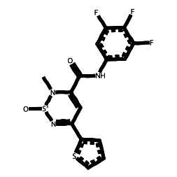 CN1C(C(=O)Nc2cc(F)c(F)c(F)c2)=CC(c2cccs2)=N[S+]1[O-]